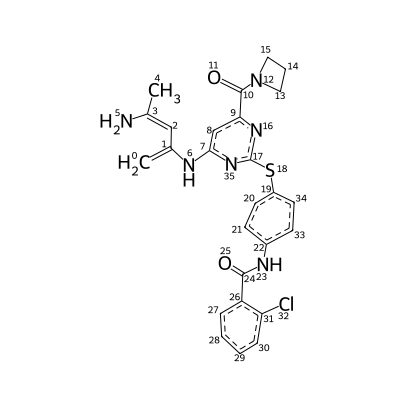 C=C(/C=C(/C)N)Nc1cc(C(=O)N2CCC2)nc(Sc2ccc(NC(=O)c3ccccc3Cl)cc2)n1